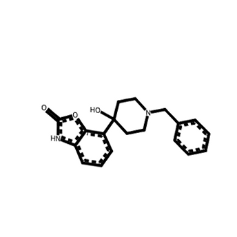 O=c1[nH]c2cccc(C3(O)CCN(Cc4ccccc4)CC3)c2o1